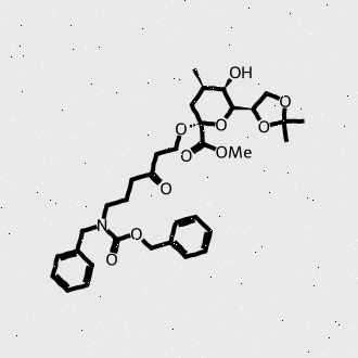 COC(=O)[C@@]1(OCCC(=O)CCCN(Cc2ccccc2)C(=O)OCc2ccccc2)C[C@@H](C)[C@@H](O)C([C@H]2COC(C)(C)O2)O1